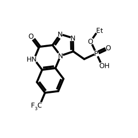 CCOP(=O)(O)Cc1nnc2c(=O)[nH]c3cc(C(F)(F)F)ccc3n12